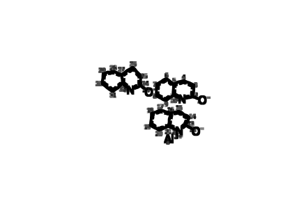 [Al+3].[O-]c1ccc2ccccc2n1.[O-]c1ccc2ccccc2n1.[O-]c1ccc2ccccc2n1